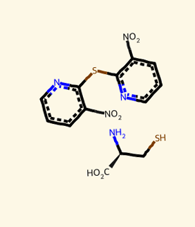 N[C@@H](CS)C(=O)O.O=[N+]([O-])c1cccnc1Sc1ncccc1[N+](=O)[O-]